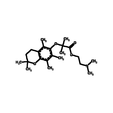 Cc1c(C)c2c(c(C)c1OC(C)(C)C(=O)OCCN(C)C)CCC(C)(C)O2